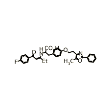 CC/C(=C/C(=O)c1ccc(F)cc1)NC(Cc1ccc(OCCc2nc(-c3ccccc3)oc2C)cc1)C(=O)O